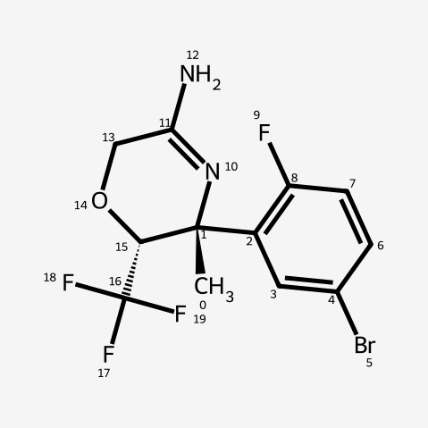 C[C@]1(c2cc(Br)ccc2F)N=C(N)CO[C@H]1C(F)(F)F